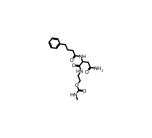 CNC(=O)OCCNC(=O)C(CC(N)=O)NC(=O)CCCc1ccccc1